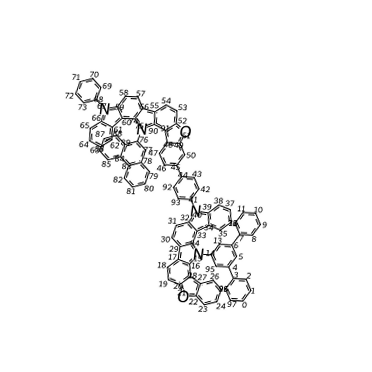 c1ccc(-c2cc(-c3ccccc3)cc(-n3c4c(ccc5oc6ccccc6c54)c4ccc5c(c6ccccc6n5-c5ccc(-c6ccc7c(c6)oc6ccc8c9ccc%10c(c%11ccccc%11n%10-c%10ccccc%10)c9n(-c9cc%10ccccc%10c%10ccccc9%10)c8c67)cc5)c43)c2)cc1